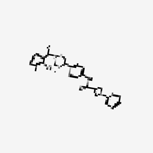 Cc1c(F)cccc1C(=O)N1CCC(c2ccc(NC(=O)C3CN(c4cccnn4)C3)cc2)CC1